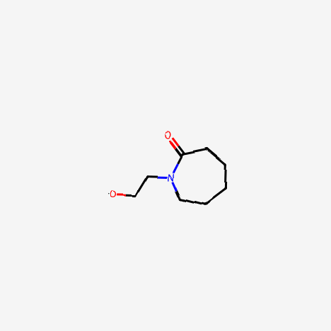 [O]CCN1CCCCCC1=O